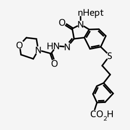 CCCCCCCN1C(=O)C(=NNC(=O)N2CCOCC2)c2cc(SCCc3ccc(C(=O)O)cc3)ccc21